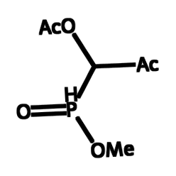 CO[PH](=O)C(OC(C)=O)C(C)=O